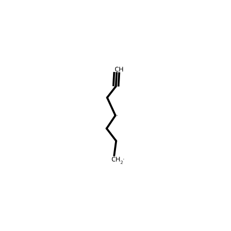 C#CC[CH]CC[CH2]